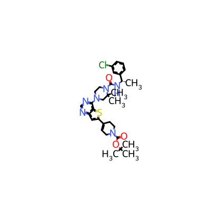 C[C@H](NC(=O)N1CCN(c2ncnc3cc(C4=CCN(C(=O)OC(C)(C)C)CC4)sc23)CC1(C)C)c1cccc(Cl)c1